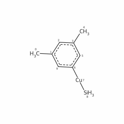 Cc1cc(C)c[c]([Cu][SiH3])c1